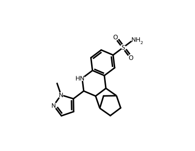 Cn1nccc1C1Nc2ccc(S(N)(=O)=O)cc2C2C3CCC(C3)C12